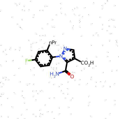 CCCc1cc(F)ccc1-n1ncc(C(=O)O)c1C(N)=O